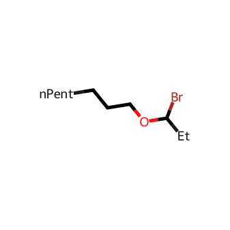 CCCCCCCCOC(Br)CC